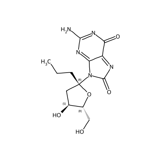 CCC[C@]1(N2C(=O)N=C3C(=O)N=C(N)N=C32)C[C@H](O)[C@@H](CO)O1